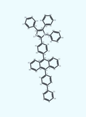 c1ccc(-c2ccc(-c3c4ccccc4c(-c4ccc(-c5nc(-c6ccccc6)c(-c6ccccc6)n5-c5ccccc5)cc4)c4ccccc34)cc2)cc1